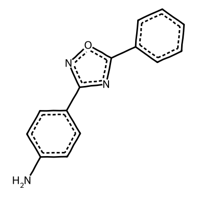 Nc1ccc(-c2noc(-c3ccccc3)n2)cc1